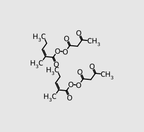 CCC=C(C)C(=O)OOC(=O)CC(C)=O.CCC=C(C)C(=O)OOC(=O)CC(C)=O